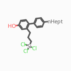 CCCCCCCc1ccc(-c2ccc(O)cc2CCC[Si](Cl)(Cl)Cl)cc1